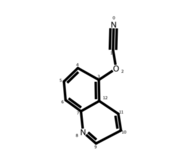 N#COc1cccc2ncccc12